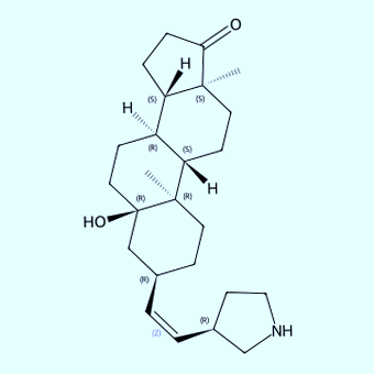 C[C@]12CC[C@H]3[C@@H](CC[C@@]4(O)C[C@H](/C=C\[C@H]5CCNC5)CC[C@]34C)[C@@H]1CCC2=O